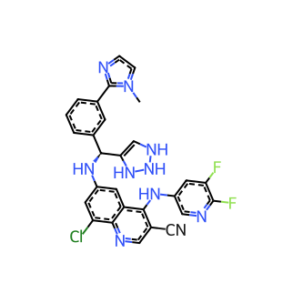 Cn1ccnc1-c1cccc([C@H](Nc2cc(Cl)c3ncc(C#N)c(Nc4cnc(F)c(F)c4)c3c2)C2=CNNN2)c1